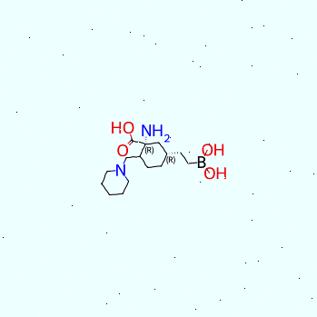 N[C@]1(C(=O)O)C[C@H](CCB(O)O)CCC1CN1CCCCC1